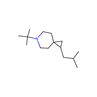 CC(C)CC1CC12CCN(C(C)(C)C)CC2